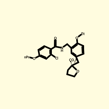 CCCOc1ccc(C(=O)NCc2cc(C[C@]3(C(=O)O)CCCO3)ccc2OCC)c(Cl)c1